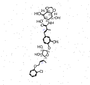 C/C(=C\c1ccc(O[C@@H]2O[C@H](/C(C)=C/COc3ccccc3Cl)[C@@H](O)[C@@H]2O)c(O)c1)C(=O)N[C@@H]1[C@H](O)[C@@H](O)[C@H]2OCO[C@H]2[C@@H]1O